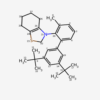 Cc1cccc(-c2cc(C(C)(C)C)cc(C(C)(C)C)c2)c1N1[C]SC2=C1CCCC2